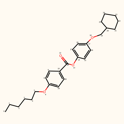 CCCCCCOc1ccc(C(=O)Oc2ccc(OCC3CC[CH]CC3)cc2)cc1